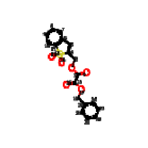 O=C(OCC1=Cc2ccccc2S1(=O)=O)C(=O)OCc1ccccc1